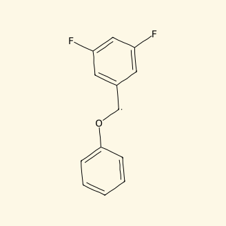 Fc1cc(F)cc([CH]Oc2ccccc2)c1